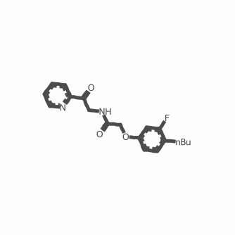 CCCCc1ccc(OCC(=O)NCC(=O)c2ccccn2)cc1F